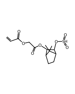 C=CC(=O)OCC(=O)OC1C(O[SH](=O)=O)C2CCC1C2(C)C